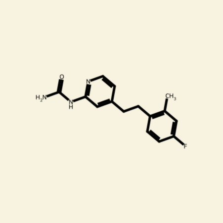 Cc1cc(F)ccc1CCc1ccnc(NC(N)=O)c1